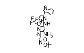 CN(CCN(C)c1nc(OCC(F)(F)F)c(Nc2nccc(-c3cn(C)c4ccccc34)n2)cc1N)C(=O)OC(C)(C)C